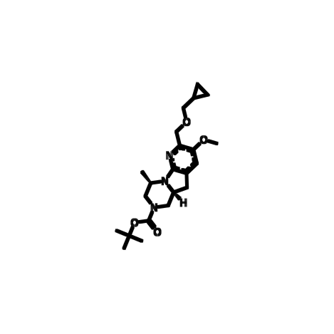 COc1cc2c(nc1COCC1CC1)N1[C@H](C2)CN(C(=O)OC(C)(C)C)C[C@H]1C